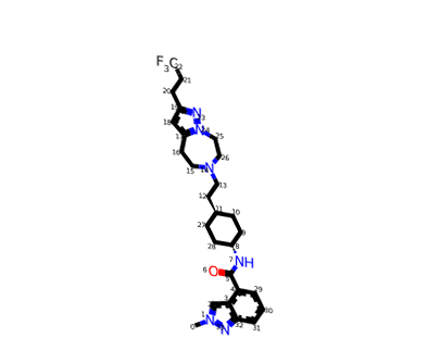 Cn1cc2c(C(=O)N[C@H]3CC[C@H](CCN4CCc5cc(CCC(F)(F)F)nn5CC4)CC3)cccc2n1